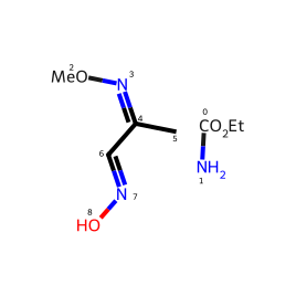 CCOC(N)=O.CON=C(C)C=NO